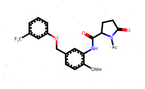 COc1ccc(COc2cccc(C(F)(F)F)c2)cc1NC(=O)C1CCC(=O)N1C(C)=O